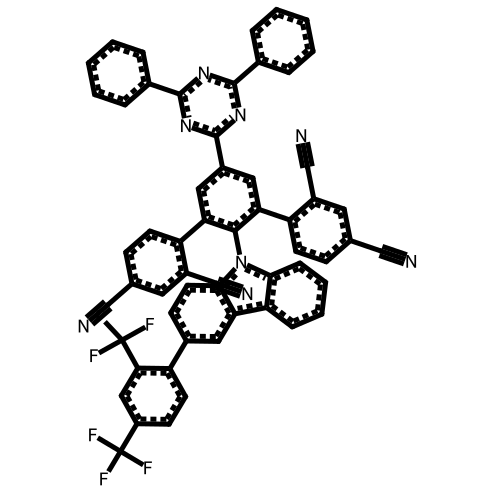 N#Cc1ccc(-c2cc(-c3nc(-c4ccccc4)nc(-c4ccccc4)n3)cc(-c3ccc(C#N)cc3C#N)c2-n2c3ccccc3c3cc(-c4ccc(C(F)(F)F)cc4C(F)(F)F)ccc32)c(C#N)c1